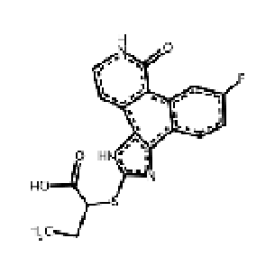 CCC(Sc1nc2c3ccc(F)cc3c3c(=O)[nH]ccc3c2[nH]1)C(=O)O